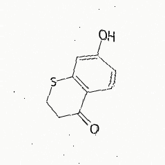 O=C1CCSc2cc(O)ccc21